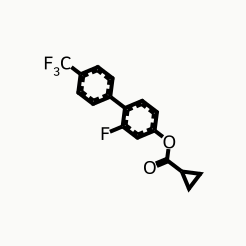 O=C(Oc1ccc(-c2ccc(C(F)(F)F)cc2)c(F)c1)C1CC1